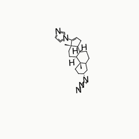 C[C@]12CC[C@@H](N=[N+]=[N-])CC1CC[C@@H]1[C@@H]2CC[C@]2(C)C(n3ccnc3)=CC[C@@H]12